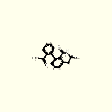 NC(=O)c1ccccc1-c1cccc2c1C(=O)NC(=O)C2